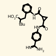 CC(C)(C)C(Cc1ccccc1NC(=O)C1CC1C(=O)Nc1ccc(C(=N)N)cc1)C(=O)O